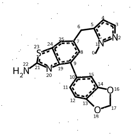 Cn1nccc1Cc1cc(-c2ccc3c(c2)OCO3)c2nc(N)sc2c1